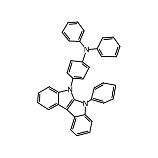 c1ccc(N(c2ccccc2)c2ccc(-n3c4ccccc4c4c5ccccc5n(-c5ccccc5)c43)cc2)cc1